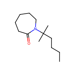 CCCCC(C)(C)N1CCCCCC1=O